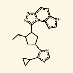 CC[C@@H]1C[C@H](n2ncnc2C2CC2)C[C@@H]1c1nnc2cnc3[nH]ccc3n12